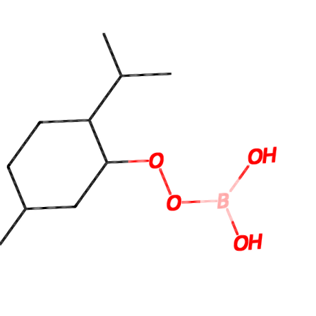 CC1CCC(C(C)C)C(OOB(O)O)C1